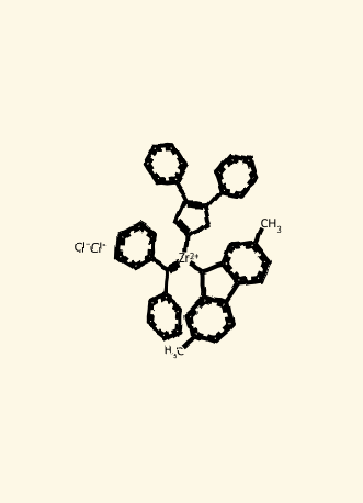 Cc1ccc2c(c1)[CH]([Zr+2]([C]1=CC(c3ccccc3)=C(c3ccccc3)C1)=[C](c1ccccc1)c1ccccc1)c1cc(C)ccc1-2.[Cl-].[Cl-]